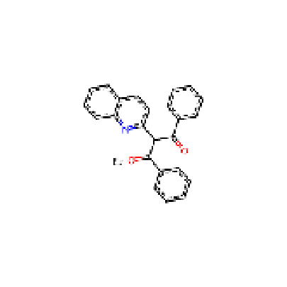 O=C(c1ccccc1)C(C(=O)c1ccccc1)c1ccc2ccccc2n1.[Eu]